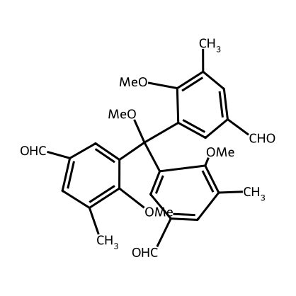 COc1c(C)cc(C=O)cc1C(OC)(c1cc(C=O)cc(C)c1OC)c1cc(C=O)cc(C)c1OC